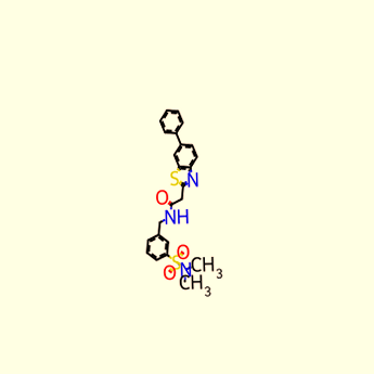 CN(C)S(=O)(=O)c1cccc(CNC(=O)Cc2nc3ccc(-c4ccccc4)cc3s2)c1